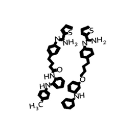 Cc1ccc(Nc2ccccc2NC(=O)CCCc2ccc(N=C(N)c3cccs3)cc2)cc1.NC(=Nc1ccc(CCCCOc2cccc(Nc3ccccc3)c2)cc1)c1cccs1